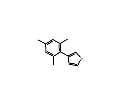 Cc1cc(C)c(-c2[c]scc2)c(C)c1